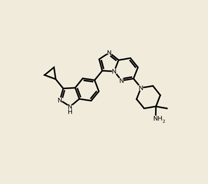 CC1(N)CCN(c2ccc3ncc(-c4ccc5[nH]nc(C6CC6)c5c4)n3n2)CC1